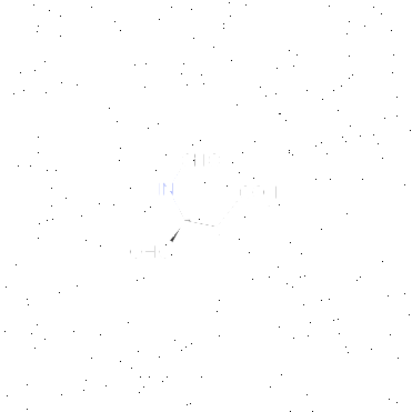 O=[C][C@H](CC(=O)O)NC=O